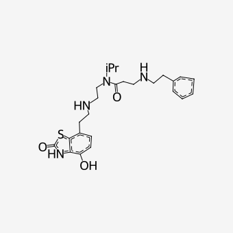 CC(C)N(CCNCCc1ccc(O)c2[nH]c(=O)sc12)C(=O)CCNCCc1ccccc1